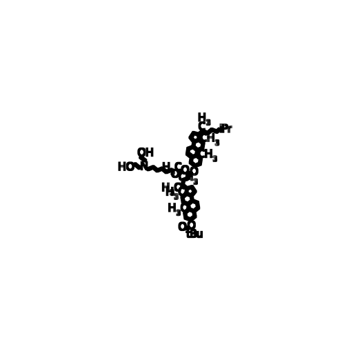 CC(C)CCCC(C)C1CCC2C3CC=C4CC(OC(CC[C@H](C)C5CCC6C7CCC8C[C@@H](OC(=O)C(C)(C)C)CC[C@@]8(C)C7CC[C@]65C)OC(C)(C)OCCCCCCN(CCO)CCO)CCC4(C)C3CCC12C